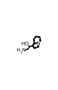 NCC(O)c1ccn2ccccc12